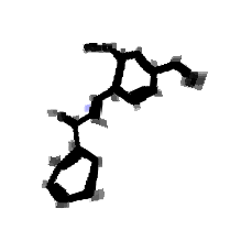 COc1cc(CO)ccc1/C=C/C(=O)c1ccccc1